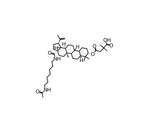 C=C(C)[C@@H]1CC[C@]2(C(=O)NCCCCCCCNC(C)=O)CC[C@]3(C)[C@H](CC[C@@H]4[C@@]5(C)CC[C@H](OC(=O)CC(C)(C)C(=O)O)C(C)(C)[C@@H]5CC[C@]43C)[C@@H]12